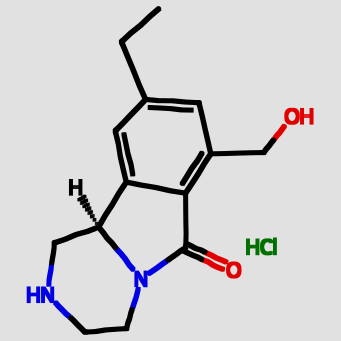 CCc1cc(CO)c2c(c1)[C@@H]1CNCCN1C2=O.Cl